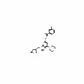 C/C(=N\Nc1cc(N2CCOCC2)c2ncn(CC3CNC(=O)C3)c2n1)c1cccc(C)c1